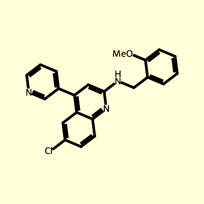 COc1ccccc1CNc1cc(-c2cccnc2)c2cc(Cl)ccc2n1